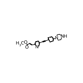 COC(=O)/C=C/c1ccc(C#Cc2ccc(N3CCNCC3)cc2)cn1